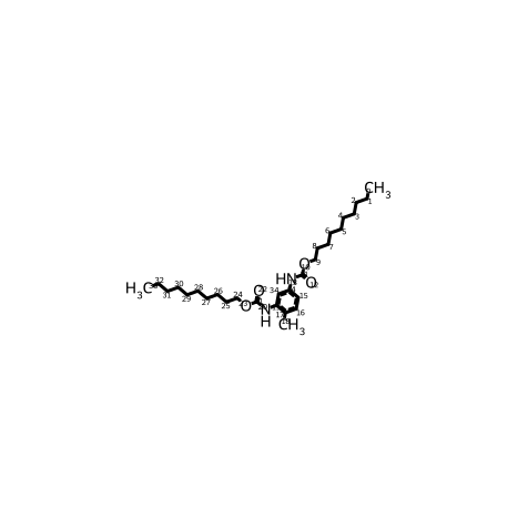 CCCCCCCCCCOC(=O)Nc1ccc(C)c(NC(=O)OCCCCCCCCCC)c1